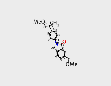 COCc1ccc2c(c1)C(=O)N(c1ccc(C(C)COC)cc1)C2